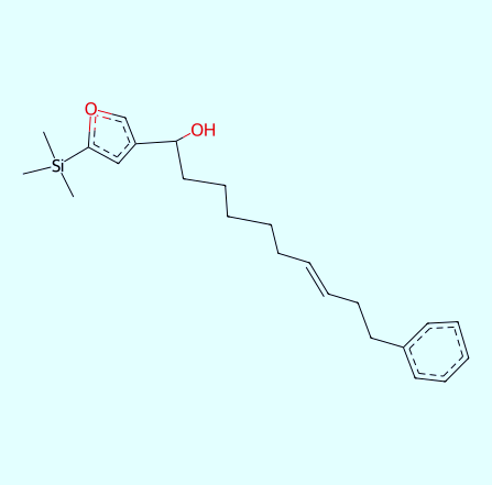 C[Si](C)(C)c1cc(C(O)CCCCCC=CCCc2ccccc2)co1